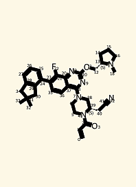 C=CC(=O)N1CCN(c2nc(OC[C@@H]3CCCN3C)nc3c(F)c(-c4cccc5c4CC(C)(C)C5)ccc23)C[C@@H]1CC#N